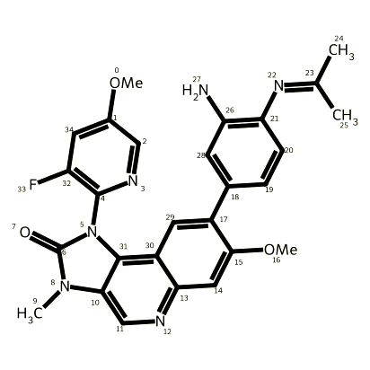 COc1cnc(-n2c(=O)n(C)c3cnc4cc(OC)c(-c5ccc(N=C(C)C)c(N)c5)cc4c32)c(F)c1